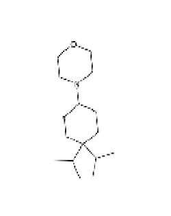 CC(C)C1(C(C)C)CCC(N2CCOCC2)CC1